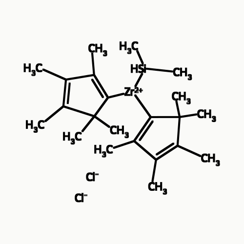 CC1=C(C)C(C)(C)[C]([Zr+2]([C]2=C(C)C(C)=C(C)C2(C)C)[SiH](C)C)=C1C.[Cl-].[Cl-]